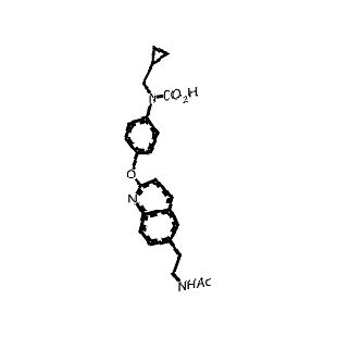 CC(=O)NCCc1ccc2nc(Oc3ccc(N(CC4CC4)C(=O)O)cc3)ccc2c1